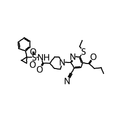 CCCC(=O)c1cc(C#N)c(N2CCC(C(=O)NS(=O)(=O)C3(c4ccccc4)CC3)CC2)nc1SCC